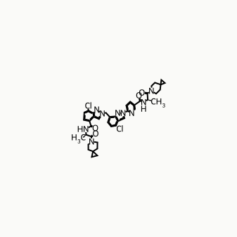 C[C@@H](NC(=O)c1ccc(-n2cc3c(Cl)ccc(Cn4cc5c(C(=O)N[C@H](C)C(=O)N6CCC7(CC6)CC7)ccc(Cl)c5n4)c3n2)nc1)C(=O)N1CCC2(CC1)CC2